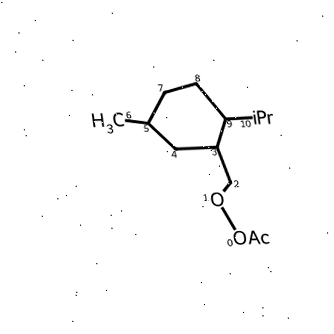 CC(=O)OOCC1CC(C)CCC1C(C)C